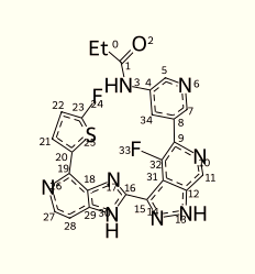 CCC(=O)Nc1cncc(-c2ncc3[nH]nc(-c4nc5c(-c6ccc(F)s6)nccc5[nH]4)c3c2F)c1